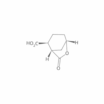 O=C(O)[C@H]1CC[C@H]2C[C@@H]1C(=O)O2